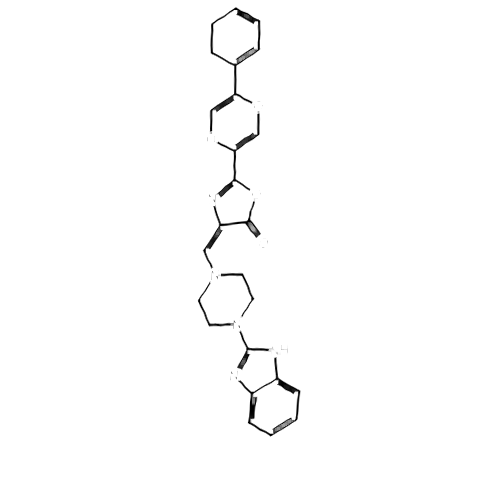 O=C1OC(C2=COC(C3=CC=CCC3)=CO2)=NC1=CN1CCN(c2nc3ccccc3[nH]2)CC1